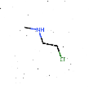 CNCCCl